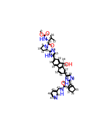 COC(=O)N[C@H](C(=O)N1CCC[C@H]1c1ncc(-c2ccc3c(c2)[C@@](C)(O)c2cc(-c4cnc(C5C6CCC(C6)[C@H]5C(=O)NCc5cccnc5)[nH]4)ccc2-3)[nH]1)C(C)C